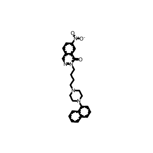 O=c1c2cc([N+](=O)[O-])ccc2cnn1CCCCN1CCN(c2cccc3ccccc23)CC1